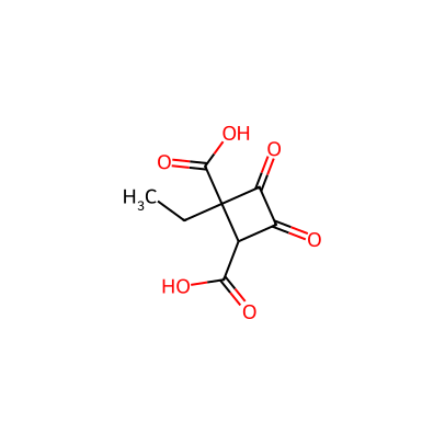 CCC1(C(=O)O)C(=O)C(=O)C1C(=O)O